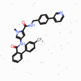 Cn1cc(NC(=O)c2ccccc2-c2ccc(C(F)(F)F)cc2)cc1C(=O)NCc1ccc(-c2cccnc2)cc1